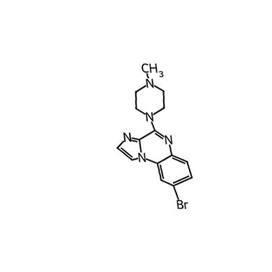 CN1CCN(c2nc3ccc(Br)cc3n3ccnc23)CC1